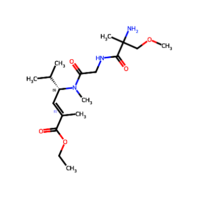 CCOC(=O)/C(C)=C/[C@H](C(C)C)N(C)C(=O)CNC(=O)C(C)(N)COC